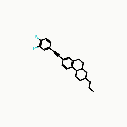 CCCC1CCC2c3ccc(C#Cc4ccc(F)c(F)c4)cc3CCC2C1